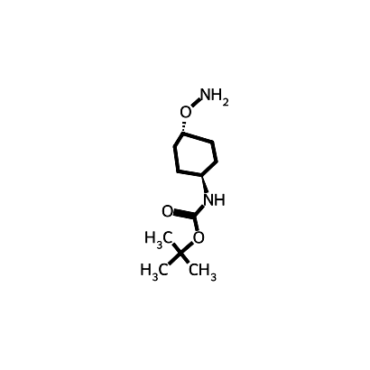 CC(C)(C)OC(=O)N[C@H]1CC[C@H](ON)CC1